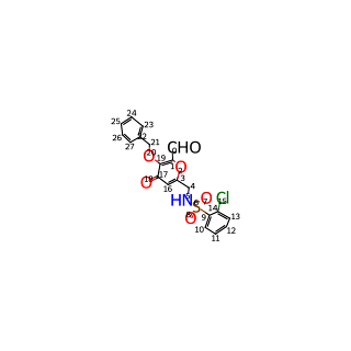 O=Cc1oc(CNS(=O)(=O)c2ccccc2Cl)cc(=O)c1OCc1ccccc1